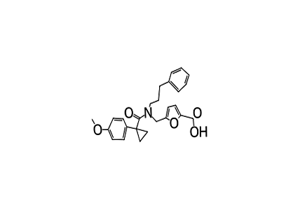 COc1ccc(C2(C(=O)N(CCCc3ccccc3)Cc3ccc(C(=O)O)o3)CC2)cc1